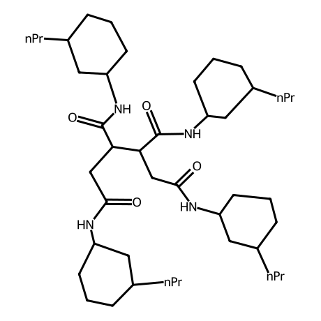 CCCC1CCCC(NC(=O)CC(C(=O)NC2CCCC(CCC)C2)C(CC(=O)NC2CCCC(CCC)C2)C(=O)NC2CCCC(CCC)C2)C1